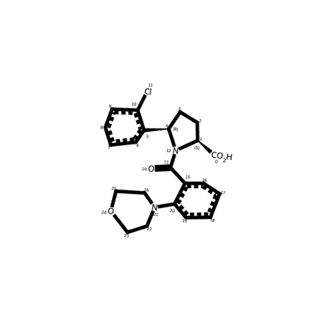 O=C(O)[C@@H]1CC[C@H](c2ccccc2Cl)N1C(=O)c1ccccc1N1CCOCC1